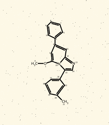 COc1cc(-c2ccccc2)cc2ncc(-c3cccc(C)c3)n12